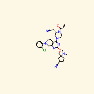 C=CC(=O)N1CCN(c2nc(OCC3(N(C)C)CCC(C#N)C3)nc3c2CCN(c2ccccc2Cl)C3)C[C@@H]1CC#N